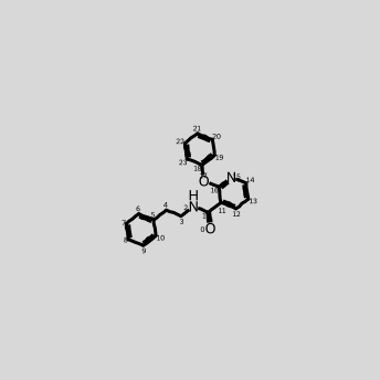 O=C(NCCc1ccccc1)c1cccnc1Oc1ccccc1